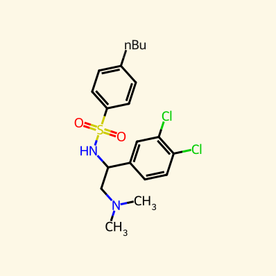 CCCCc1ccc(S(=O)(=O)NC(CN(C)C)c2ccc(Cl)c(Cl)c2)cc1